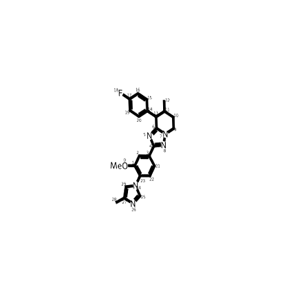 COc1cc(-c2nc3n(n2)CCC(C)C3c2ccc(F)cc2)ccc1-n1cnc(C)c1